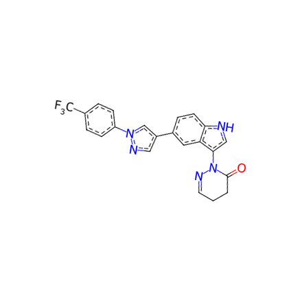 O=C1CCC=NN1c1c[nH]c2ccc(-c3cnn(-c4ccc(C(F)(F)F)cc4)c3)cc12